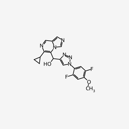 COc1cc(F)c(-n2cc(C(O)c3c(C4CC4)ncc4cncn34)nn2)cc1F